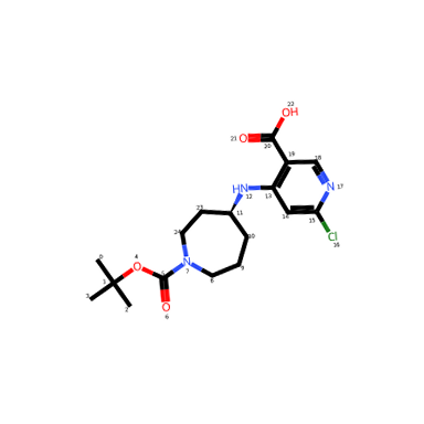 CC(C)(C)OC(=O)N1CCC[C@H](Nc2cc(Cl)ncc2C(=O)O)CC1